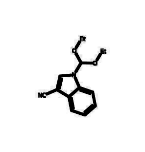 CCOC(OCC)n1cc(C#N)c2ccccc21